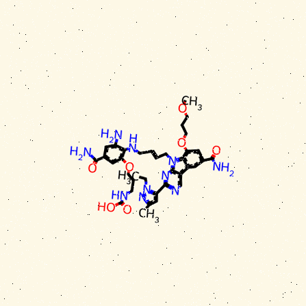 CCn1nc(C)cc1-c1ncc2c3cc(C(N)=O)cc(OCCCOC)c3n(CC=CCNc3c(N)cc(C(N)=O)cc3OCCCNC(=O)O)c2n1